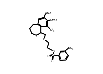 COc1cc2c(c(C(F)(F)F)c1OC)C(COCCOS(=O)(=O)c1cccc([N+](=O)[O-])c1)SCCC2